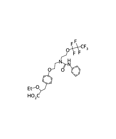 CCOC(Cc1ccc(OCCN(CCOC(F)(F)C(F)(F)C(F)(F)F)C(=O)Nc2ccccc2)cc1)C(=O)O